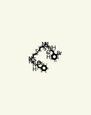 O=C(Cc1ccccc1Br)Nc1nnc(CCSCCc2nnc(NC(O)Cc3ccccc3Br)s2)s1